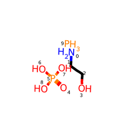 NCCO.O=P(O)(O)O.P